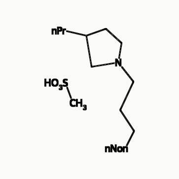 CCCCCCCCCCCCN1CCC(CCC)C1.CS(=O)(=O)O